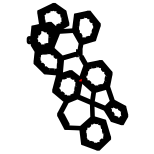 C1=Cc2ccccc2C2(c3ccccc31)c1ccccc1-c1ccc(N(c3ccccc3-c3ccccc3)c3cccc4oc5ccccc5c34)cc12